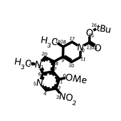 COc1c([N+](=O)[O-])cnc2c1c(C1=CCN(C(=O)OC(C)(C)C)CC1C)cn2C